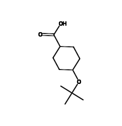 CC(C)(C)OC1CCC(C(=O)O)CC1